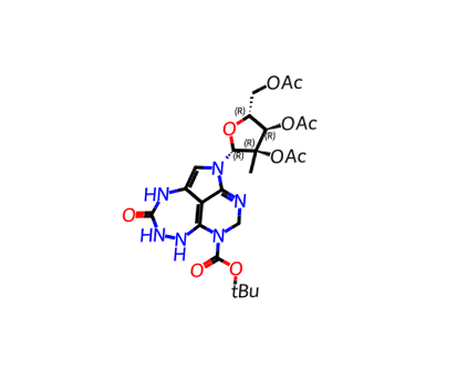 CC(=O)OC[C@H]1O[C@@H](n2cc3c4c2=NCN(C(=O)OC(C)(C)C)C=4NNC(=O)N3)[C@](C)(OC(C)=O)[C@@H]1OC(C)=O